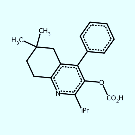 CC(C)c1nc2c(c(-c3ccccc3)c1OC(=O)O)CC(C)(C)CC2